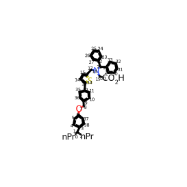 CCCC(CCC)c1ccc(OCc2ccc(-c3ccc(CN(CC(=O)O)C(c4ccccc4)c4ccccc4)s3)cc2)cc1